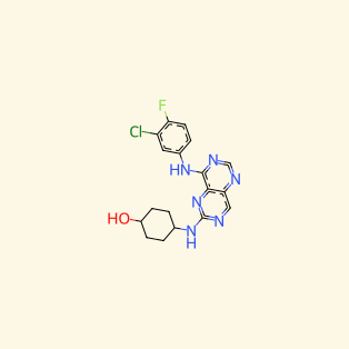 OC1CCC(Nc2ncc3ncnc(Nc4ccc(F)c(Cl)c4)c3n2)CC1